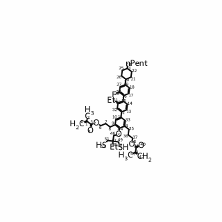 C=C(C)C(=O)OCCCc1cc(-c2ccc(-c3ccc(C4CCC(CCCCC)CC4)cc3F)c(CC)c2)cc(CCCOC(=O)C(=C)C)c1OCC(CC)(CS)CS